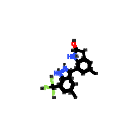 Cc1cc2c(c(-c3n[nH]c4c(C(F)(F)F)cc(C)cc34)c1)NC(=O)C2